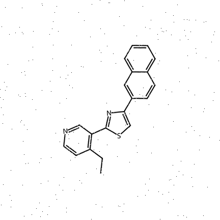 CCc1ccncc1-c1nc(-c2ccc3ccccc3c2)cs1